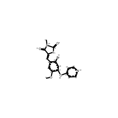 COc1cc(/C=C2\SC(=O)N(C)C2=O)c(Br)cc1Oc1ccncc1